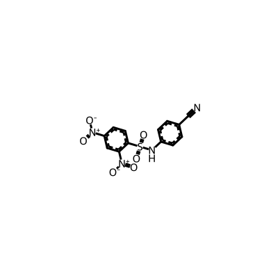 N#Cc1ccc(NS(=O)(=O)c2ccc([N+](=O)[O-])cc2[N+](=O)[O-])cc1